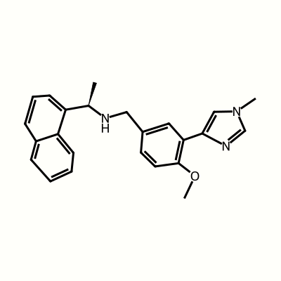 COc1ccc(CN[C@H](C)c2cccc3ccccc23)cc1-c1cn(C)cn1